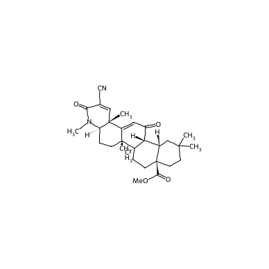 COC(=O)[C@]12CCC(C)(C)C[C@H]1[C@H]1C(=O)C=C3[C@@]4(C)C=C(C#N)C(=O)N(C)[C@@H]4CC[C@@]3(C)[C@]1(C)CC2